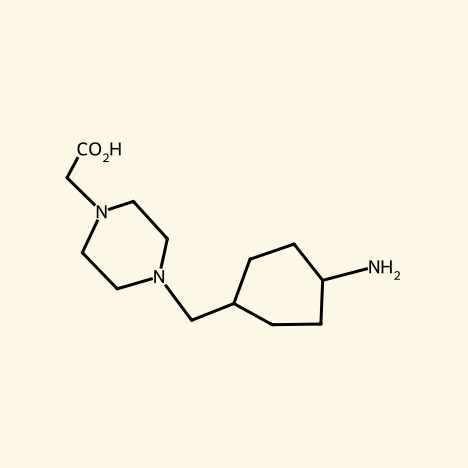 NC1CCC(CN2CCN(CC(=O)O)CC2)CC1